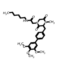 CCCCCCNC(=O)CN1CC(=O)N(C)C(Cc2ccc(-c3cc(OC)c(OC)c(OC)c3)cc2)C1=O